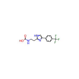 O=C(O)NCCc1nc(-c2ccc(C(F)(F)F)cc2)c[nH]1